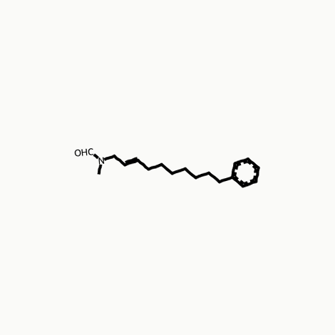 CN(C=O)C/C=C/CCCCCCCc1ccccc1